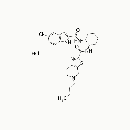 CCCCN1CCc2nc(C(=O)N[C@@H]3CCCC[C@@H]3NC(=O)c3cc4cc(Cl)ccc4[nH]3)sc2C1.Cl